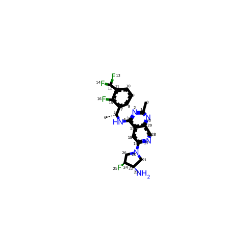 Cc1nc(N[C@H](C)c2cccc(C(F)F)c2F)c2cc(N3C[C@H](N)[C@@H](F)C3)ncc2n1